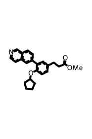 COC(=O)CCc1ccc(OC2CCCC2)c(-c2ccc3cnccc3c2)c1